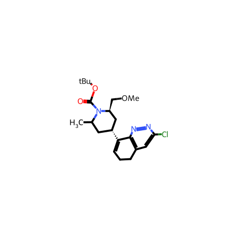 COC[C@H]1C[C@H](C2=CCCc3cc(Cl)nnc32)CC(C)N1C(=O)OC(C)(C)C